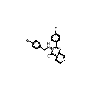 O=c1c2ccncc2nc(-c2ccc(F)cc2)n1NCc1ccc(Br)cc1